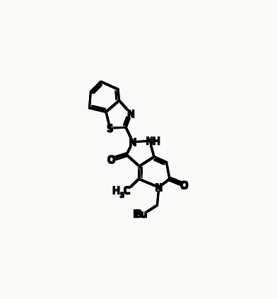 CCC(C)Cn1c(C)c2c(=O)n(-c3nc4ccccc4s3)[nH]c2cc1=O